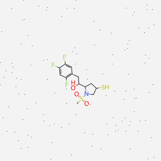 CS(=O)(=O)N1CC(S)CC1C(O)Cc1cc(F)c(F)cc1F